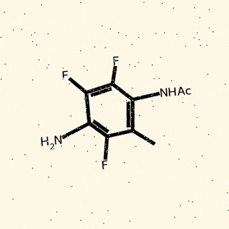 CC(=O)Nc1c(C)c(F)c(N)c(F)c1F